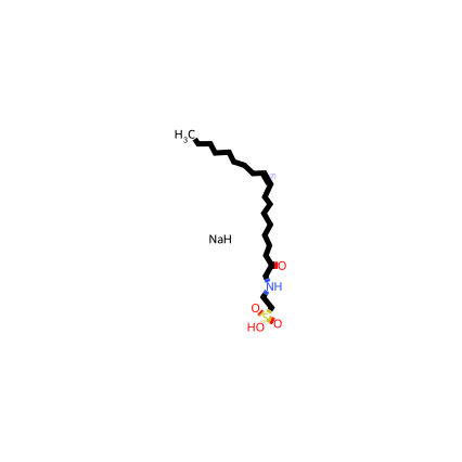 CCCCCCCC/C=C\CCCCCCCC(=O)CNCCS(=O)(=O)O.[NaH]